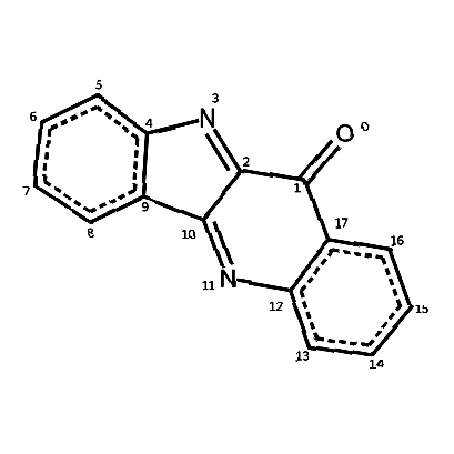 O=C1C2=Nc3ccccc3C2=Nc2ccccc21